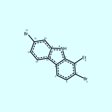 CCc1c(Br)ccc2c1[nH]c1cc(Br)ccc12